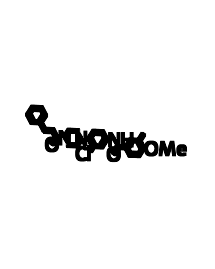 COc1ccc(C(=O)Nc2ccc(N3CCN(C(=O)/C=C/c4ccccc4)CC3)c(Cl)c2)cc1C